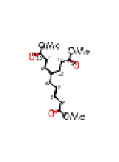 COC(=O)CCCCC(CCC(=O)OC)CCC(=O)OC